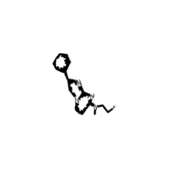 CN(CCF)c1ccn2cc(-c3ccccc3)nc2n1